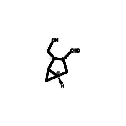 O=CN1C[C@H]2CC2C1CO